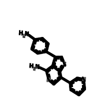 Nc1ccc(-c2csc3c(-c4cccnc4)cnc(N)c23)cc1